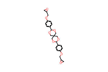 c1cc(C2OCC3(CO2)COC(c2ccc(OCC4CO4)cc2)OC3)ccc1OCC1CO1